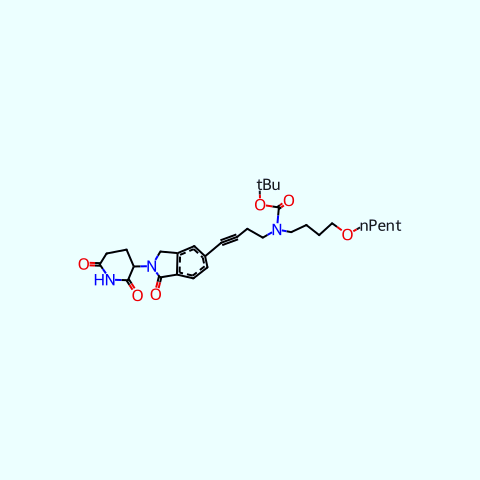 CCCCCOCCCCN(CCC#Cc1ccc2c(c1)CN(C1CCC(=O)NC1=O)C2=O)C(=O)OC(C)(C)C